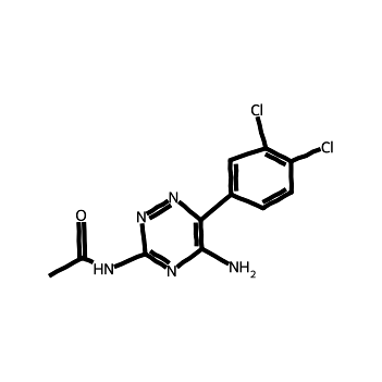 CC(=O)Nc1nnc(-c2ccc(Cl)c(Cl)c2)c(N)n1